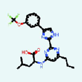 CCCc1cc(NC(CC(C)C)C(=O)O)nc(-c2nc(-c3cccc(OC(F)(F)F)c3)c[nH]2)n1